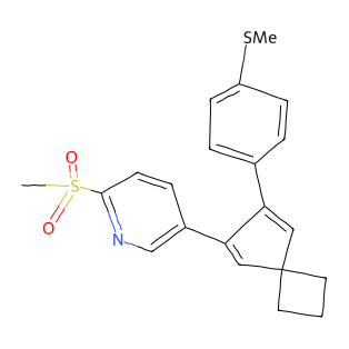 CSc1ccc(C2=CC3(C=C2c2ccc(S(C)(=O)=O)nc2)CCC3)cc1